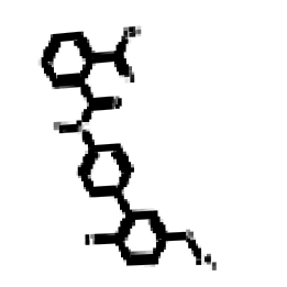 COc1ccc(Cl)c(-c2ccc(N(F)C(=O)c3ccccc3C(=O)O)cc2)c1